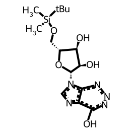 CC(C)(C)[Si](C)(C)OC[C@H]1O[C@@H](n2cnc3c(O)nnnc32)[C@H](O)[C@@H]1O